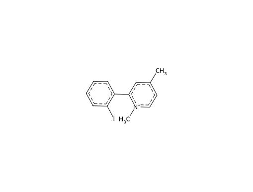 Cc1cc[n+](C)c(-c2ccccc2I)c1